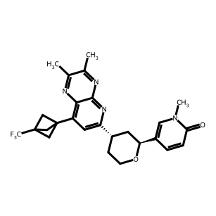 Cc1nc2nc([C@H]3CCO[C@H](c4ccc(=O)n(C)c4)C3)cc(C34CC(C(F)(F)F)(C3)C4)c2nc1C